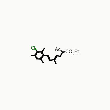 CCOC(=O)C(CC=C(C)C=Cc1c(C)cc(C)c(Cl)c1C)C(C)=O